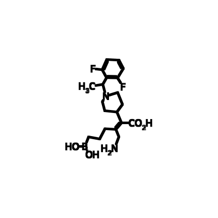 CC(c1c(F)cccc1F)N1CCC(/C(C(=O)O)=C(/CN)CCCB(O)O)CC1